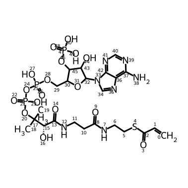 C=CC(=O)SCCNC(=O)CCNC(=O)[C@H](O)C(C)(C)OP(=O)(O)OP(=O)(O)OCC1OC(n2cnc3c(N)ncnc32)C(O)C1OP(=O)(O)O